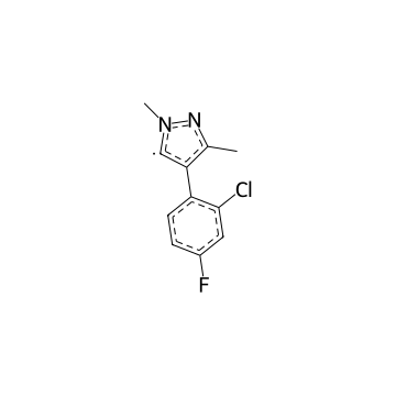 Cc1nn(C)[c]c1-c1ccc(F)cc1Cl